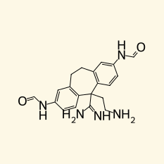 N=C(N)C1(CCN)c2ccc(NC=O)cc2CCc2cc(NC=O)ccc21